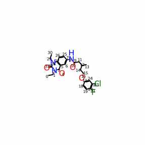 CCn1c(=O)c2cc(NC(=O)CC(C)CCOc3ccc(F)c(Cl)c3)ccc2n(CC)c1=O